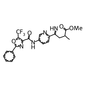 COC(=O)C(C)CC(=N)c1ccc(NC(=O)c2nc(-c3ccccc3)oc2C(F)(F)F)cn1